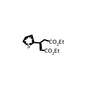 CCOC(=O)C=C(CC(=O)OCC)c1cccs1